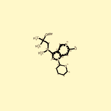 COC(C)(C)CN(C)c1nn(C2CCCCO2)c2cc(Cl)ncc12